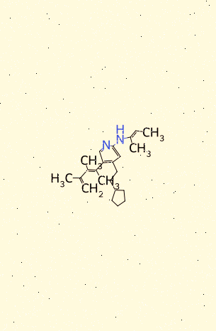 C=C(C)/C(C)=C(\C)c1cnc(N/C(C)=C/C)cc1CCC1CCCC1